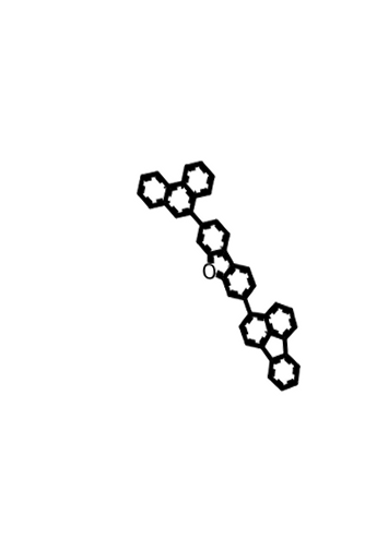 c1ccc2c(c1)-c1cccc3c(-c4ccc5c(c4)oc4cc(-c6cc7ccccc7c7ccccc67)ccc45)ccc-2c13